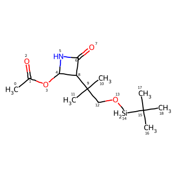 CC(=O)OC1NC(=O)C1C(C)(C)CO[SiH2]C(C)(C)C